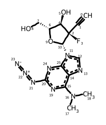 C#C[C@@]1(F)[C@H](O)[C@@H](CO)O[C@H]1n1cnc2c(N(C)C)nc(N=[N+]=[N-])nc21